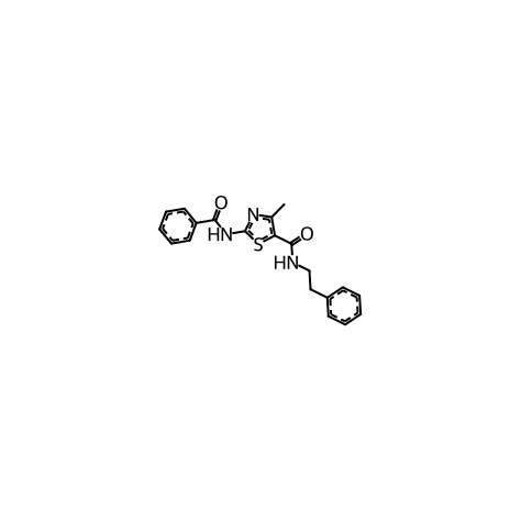 Cc1nc(NC(=O)c2ccccc2)sc1C(=O)NCCc1ccccc1